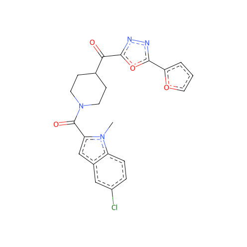 Cn1c(C(=O)N2CCC(C(=O)c3nnc(-c4ccco4)o3)CC2)cc2cc(Cl)ccc21